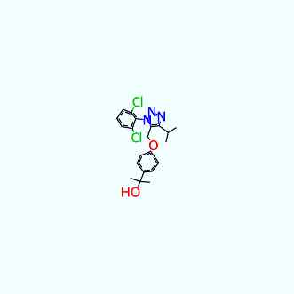 CC(C)c1nnn(-c2c(Cl)cccc2Cl)c1COc1ccc(C(C)(C)O)cc1